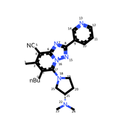 CCCCc1c(C)c(C#N)c2nc(-c3cccnc3)nn2c1N1CC[C@H](N(C)C)C1